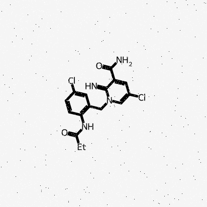 CCC(=O)Nc1ccc(Cl)cc1Cn1cc(Cl)cc(C(N)=O)c1=N